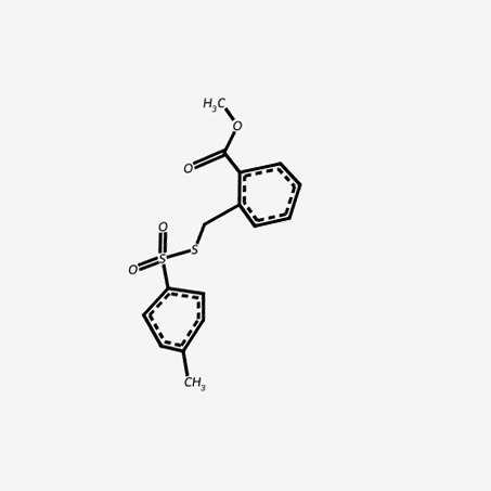 COC(=O)c1ccccc1CSS(=O)(=O)c1ccc(C)cc1